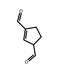 O=CC1=CC(C=O)CC1